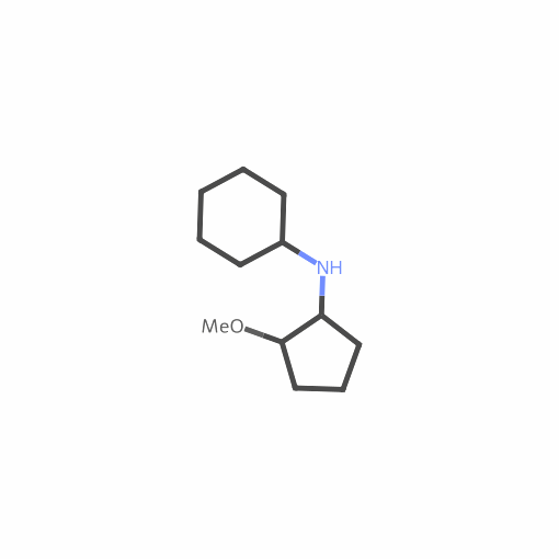 COC1CCCC1NC1CCCCC1